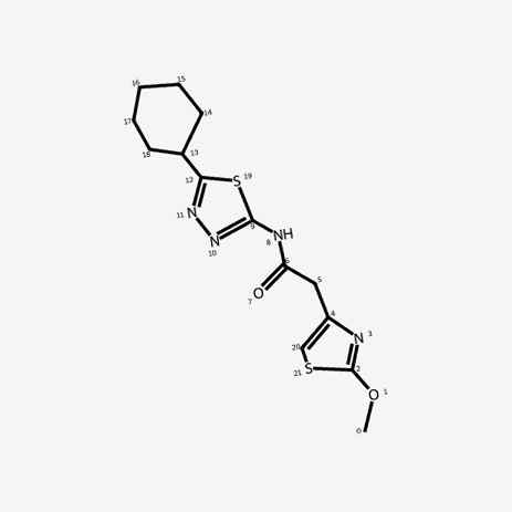 COc1nc(CC(=O)Nc2nnc(C3CCCCC3)s2)cs1